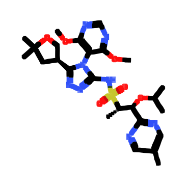 COc1ncnc(OC)c1-n1c(NS(=O)(=O)[C@@H](C)[C@@H](OC(C)C)c2ncc(C)cn2)nnc1[C@@H]1COC(C)(C)C1